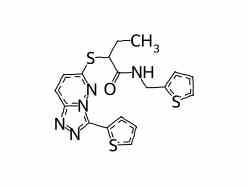 CCC(Sc1ccc2nnc(-c3cccs3)n2n1)C(=O)NCc1cccs1